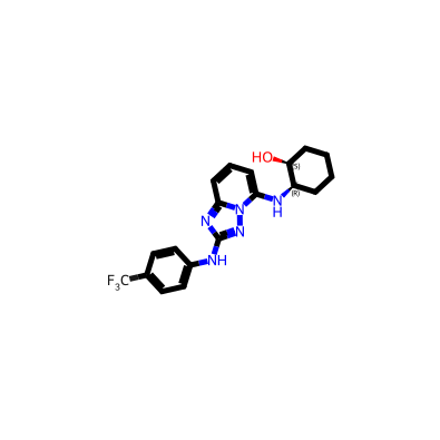 O[C@H]1CCCC[C@H]1Nc1cccc2nc(Nc3ccc(C(F)(F)F)cc3)nn12